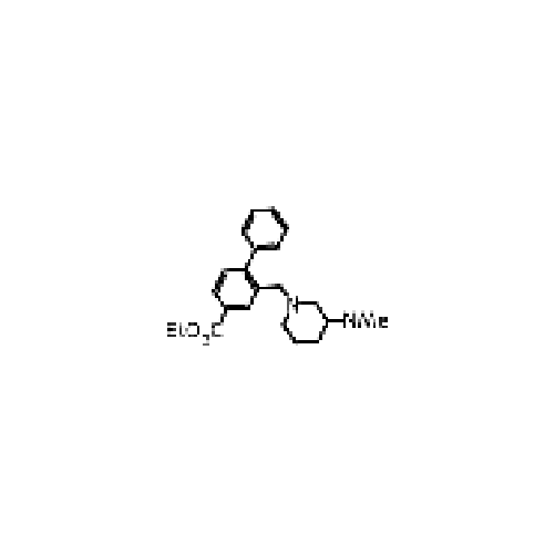 CCOC(=O)c1ccc(-c2ccccc2)c(CN2CCCC(NC)C2)c1